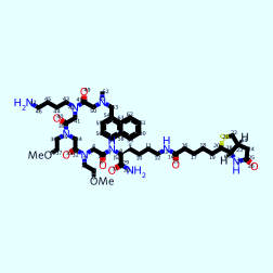 COCCN(CC(=O)N[C@@H](CCCCNC(=O)CCCCC1SC[C@@H]2CC(=O)N[C@H]12)C(N)=O)C(=O)CN(CCOC)C(=O)CN(CCCCN)C(=O)CN(C)Cc1cccc2ccccc12